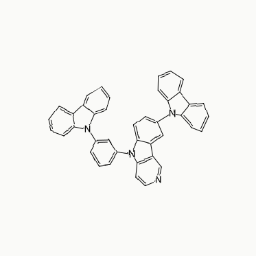 c1cc(-n2c3ccccc3c3ccccc32)cc(-n2c3ccncc3c3cc(-n4c5ccccc5c5ccccc54)ccc32)c1